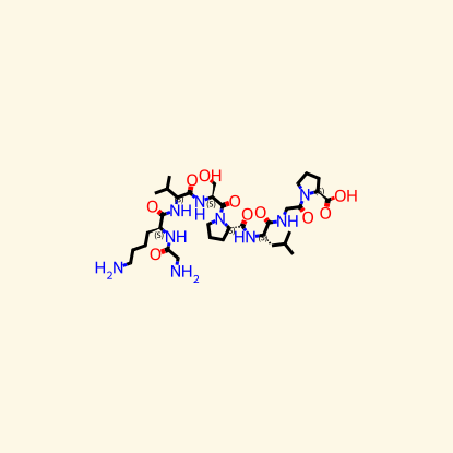 CC(C)C[C@H](NC(=O)[C@@H]1CCCN1C(=O)[C@H](CO)NC(=O)[C@@H](NC(=O)[C@H](CCCCN)NC(=O)CN)C(C)C)C(=O)NCC(=O)N1CCC[C@H]1C(=O)O